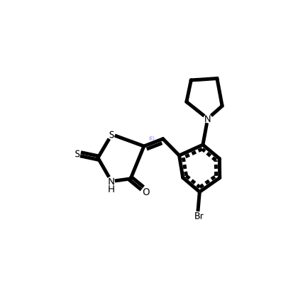 O=C1NC(=S)S/C1=C/c1cc(Br)ccc1N1CCCC1